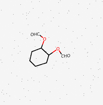 O=COC1CCCCC1OC=O